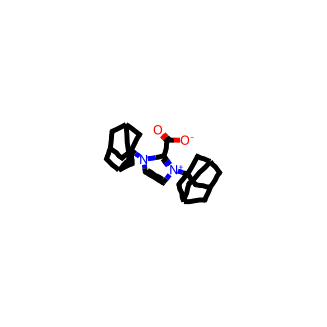 O=C([O-])c1n(C23CC4CC(CC(C4)C2)C3)cc[n+]1C12CC3CC(CC(C3)C1)C2